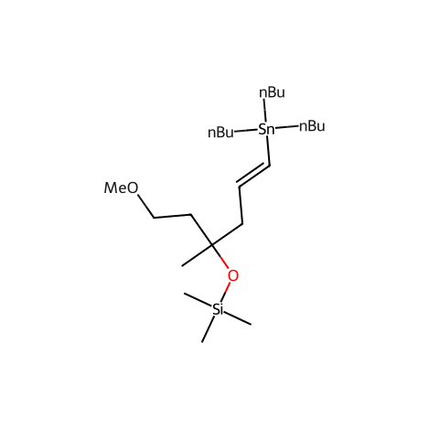 CCC[CH2][Sn](/[CH]=C/CC(C)(CCOC)O[Si](C)(C)C)([CH2]CCC)[CH2]CCC